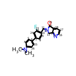 CN(C)c1ccc(-c2ccc(CN3Cc4ncccc4C3=O)c(F)c2)cc1